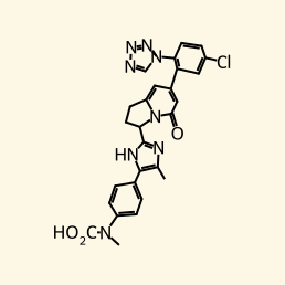 Cc1nc(C2CCc3cc(-c4cc(Cl)ccc4-n4cnnn4)cc(=O)n32)[nH]c1-c1ccc(N(C)C(=O)O)cc1